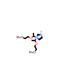 COCCOC(C)[N+]1(C(C)OCCOC)C=CN=C1.[I-]